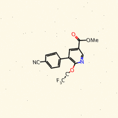 COC(=O)c1cnc(OCC(F)(F)F)c(-c2ccc(C#N)cc2)c1